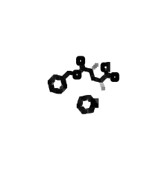 C[C@H](C[C@@H](C)C(=O)OCc1ccccc1)C(=O)Cl.c1ccncc1